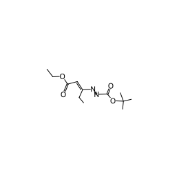 CCOC(=O)/C=C(CC)/N=N/C(=O)OC(C)(C)C